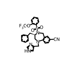 N#Cc1ccc2c(c1)CN(S(=O)(=O)c1ccccc1OC(F)(F)F)[C@H](Cc1ccccc1)CN2Cc1c[nH]cn1